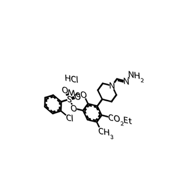 CCOC(=O)c1c(C)cc(OS(=O)(=O)c2ccccc2Cl)c(OC)c1C1CCN(C=NN)CC1.Cl